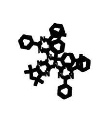 CC(C)(C)c1ccc(C2(c3ccc(C(C)(C)C)cc3)N(c3nc(-c4ccccc4)nc(-c4ccccc4)n3)c3nc4c(nc3N2c2nc(-c3ccccc3)nc(-c3ccccc3)n2)C(C)(C)CC4(C)C)cc1